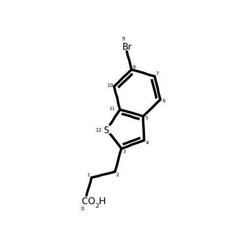 O=C(O)CCc1cc2ccc(Br)cc2s1